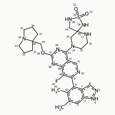 Cc1cc2[nH]ncc2c(-c2ncc3c(N4CCNC5(CNS(=O)(=O)N5)C4)nc(OCC45CCCN4CCC5)nc3c2F)c1C